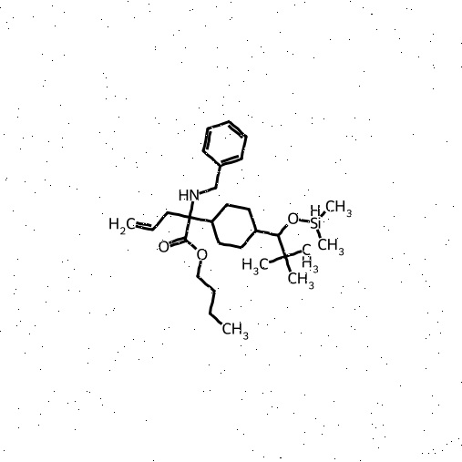 C=CCC(NCc1ccccc1)(C(=O)OCCCC)C1CCC(C(O[SiH](C)C)C(C)(C)C)CC1